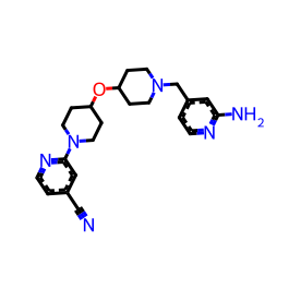 N#Cc1ccnc(N2CCC(OC3CCN(Cc4ccnc(N)c4)CC3)CC2)c1